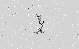 C=CC(=O)OCC1CCC(COC(=O)C(C)CC)CC1